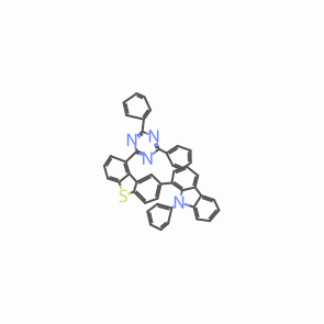 c1ccc(-c2nc(-c3ccccc3)nc(-c3cccc4sc5ccc(-c6cccc7c8ccccc8n(-c8ccccc8)c67)cc5c34)n2)cc1